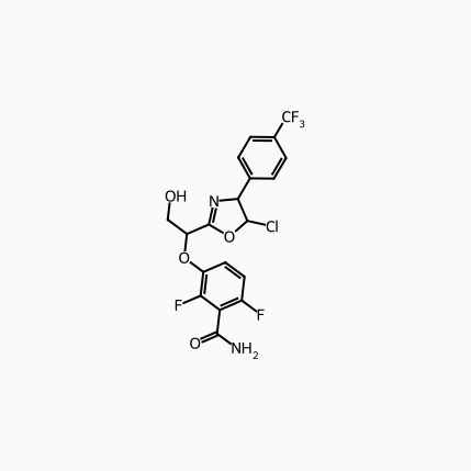 NC(=O)c1c(F)ccc(OC(CO)C2=NC(c3ccc(C(F)(F)F)cc3)C(Cl)O2)c1F